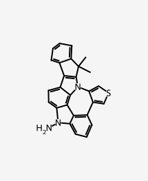 CC1(C)c2ccccc2-c2c1n1c3cscc3c3cccc4c3c3c(ccc2c31)n4N